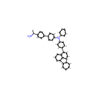 CC(N)c1ccc(-c2ccc(N(c3ccccc3)c3ccc(-c4ccc5c6c(cccc46)-c4ccccc4-5)cc3)cc2)cc1